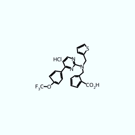 Cl.O=C(O)c1ccccc1CN(Cc1cccs1)c1nccc(-c2ccc(OC(F)(F)F)cc2)n1